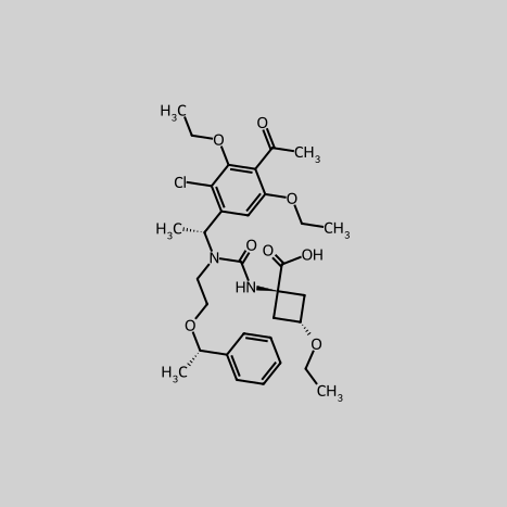 CCOc1cc([C@@H](C)N(CCO[C@@H](C)c2ccccc2)C(=O)N[C@]2(C(=O)O)C[C@@H](OCC)C2)c(Cl)c(OCC)c1C(C)=O